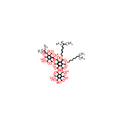 CC(C)CCCCCCOC(=O)c1c(C(=O)O)c(C(=O)OC(=O)c2c(C(=O)O)c(C(=O)O)c(C(=O)O)c(C(=O)O)c2C(=O)O)c(C(=O)OC(=O)c2c(C(=O)O)c(C(=O)O)c(C(=O)O)c(C(=O)O)c2C(=O)O)c(C(=O)OCCCCCCC(C)C)c1C(=O)OCCCCCCC(C)C